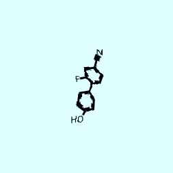 N#Cc1ccc(-c2ccc(O)cc2)c(F)c1